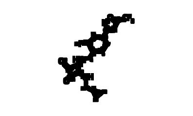 O=c1c(NCc2ccc(-c3noc(C(F)(F)F)n3)cc2F)c(NCC2CC2)c1=O